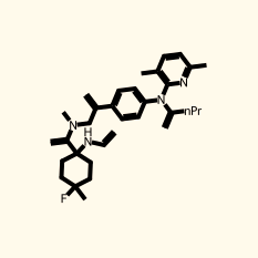 C=CNC1(C(=C)N(C)CC(=C)c2ccc(N(C(=C)CCC)c3nc(C)ccc3C)cc2)CCC(C)(F)CC1